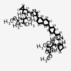 COC(=O)NC(C(=O)N1CC2(CC2)C[C@H]1c1ncc(-c2ccc3cc(-c4ccc(-c5cnc([C@@H]6[C@H]7CCC(C7)N6C(=O)[C@@H](NC(=O)OC)C(C)(C)C)[nH]5)cc4)ccc3c2)[nH]1)C(C)C